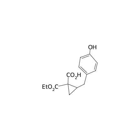 CCOC(=O)C1(C(=O)O)CC1Cc1ccc(O)cc1